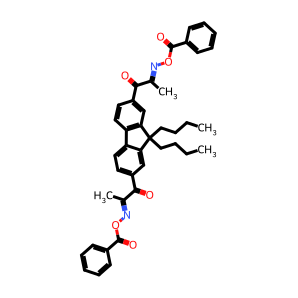 CCCCC1(CCCC)c2cc(C(=O)/C(C)=N/OC(=O)c3ccccc3)ccc2-c2ccc(C(=O)/C(C)=N/OC(=O)c3ccccc3)cc21